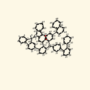 CC1(C)c2ccccc2-c2ccc(-c3cccc(N(c4ccc(-c5ccccc5-c5ccccc5)cc4)c4cccc(-c5cccc6ccccc56)c4)c3-c3ccc4c(c3)oc3ccccc34)cc21